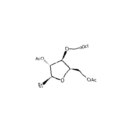 CCCCCCCCO[C@@H]1[C@@H](OC(C)=O)[C@H](CC)O[C@@H]1COC(C)=O